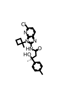 Cc1ccc([C@@](C)(O)CC(=O)Nc2nc3ccc(Cl)nc3n2C2(C)CCC2)cc1